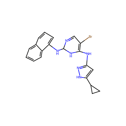 BrC1=C(Nc2cc(C3CC3)[nH]n2)NC(Nc2cccc3ccccc23)N=C1